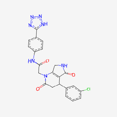 O=C(CN1C(=O)CC(c2cccc(Cl)c2)C2=C1CNC2=O)Nc1ccc(-c2nnn[nH]2)cc1